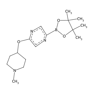 CN1CCC(Oc2cnc(B3OC(C)(C)C(C)(C)O3)cn2)CC1